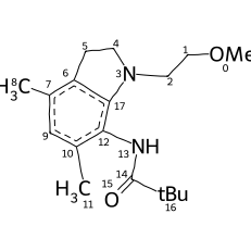 COCCN1CCc2c(C)cc(C)c(NC(=O)C(C)(C)C)c21